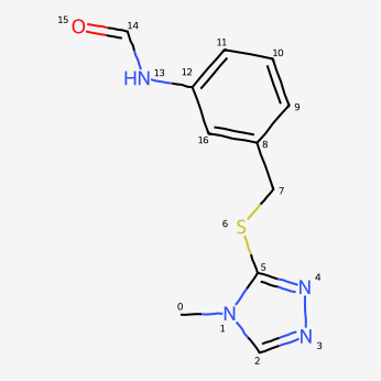 Cn1cnnc1SCc1cccc(NC=O)c1